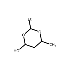 CCC1OC(C)CC(O)O1